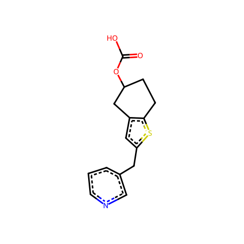 O=C(O)OC1CCc2sc(Cc3cccnc3)cc2C1